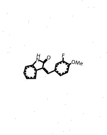 COc1ccc(/C=C2\C(=O)Nc3ccccc32)cc1F